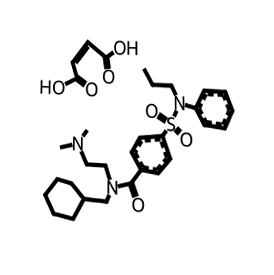 CCCN(c1ccccc1)S(=O)(=O)c1ccc(C(=O)N(CCN(C)C)CC2CCCCC2)cc1.O=C(O)/C=C\C(=O)O